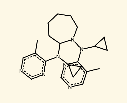 Cc1cncnc1N(C1CC1)C1CCC[CH]CN1N(c1ncncc1C)C1CC1